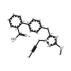 CC#CCn1nc(OC)nc1Cc1ccc(-c2ccccc2C(=O)O)cc1